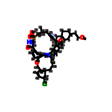 COCCC1CCC(C[C@]2(OC)/C=C/C[C@H](C)[C@@H](C)S(=O)(=O)NC(=O)c3ccc4c(c3)N(CCCCc3cc(Cl)ccc3CO4)C[C@@H]3CC[C@H]32)CC1